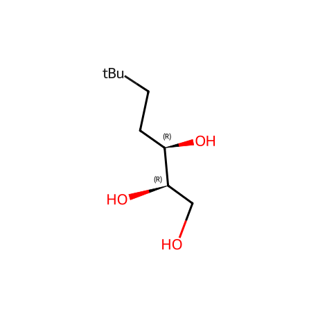 CC(C)(C)CC[C@@H](O)[C@H](O)CO